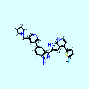 Fc1ccc(-c2ccnc3[nH]c(-c4n[nH]c5ccc(-c6cncc(CN7CCCC7)c6)cc45)cc23)s1